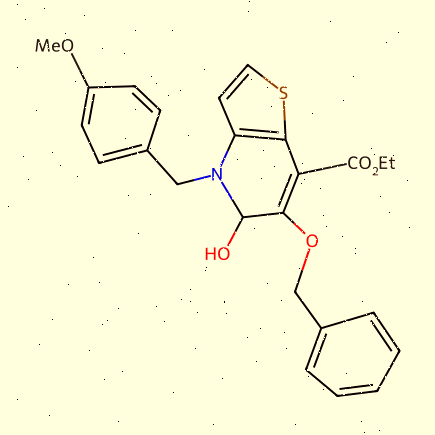 CCOC(=O)C1=C(OCc2ccccc2)C(O)N(Cc2ccc(OC)cc2)c2ccsc21